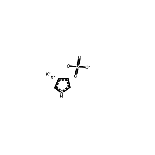 O=S(=O)([O-])[O-].[K+].[K+].c1cc[nH]c1